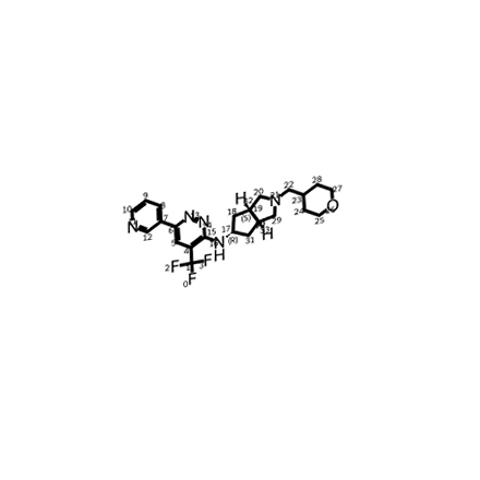 FC(F)(F)c1cc(-c2cccnc2)nnc1N[C@@H]1C[C@@H]2CN(CC3CCOCC3)C[C@@H]2C1